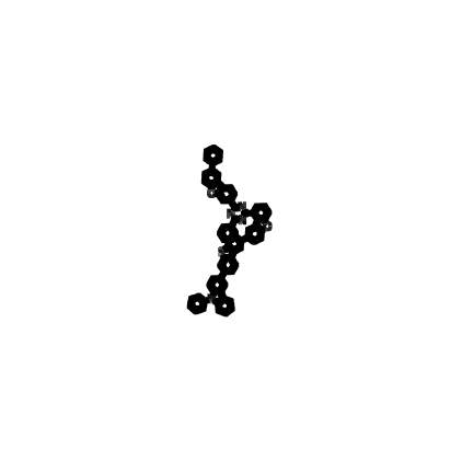 c1ccc(-c2ccc3oc4cc(-c5nc(-c6ccccc6)nc(-c6cccc7oc8ccc(-c9ccc%10sc%11cc(-c%12ccc%13c(c%12)c%12ccccc%12n%13-c%12ccccc%12)ccc%11c%10c9)cc8c67)n5)ccc4c3c2)cc1